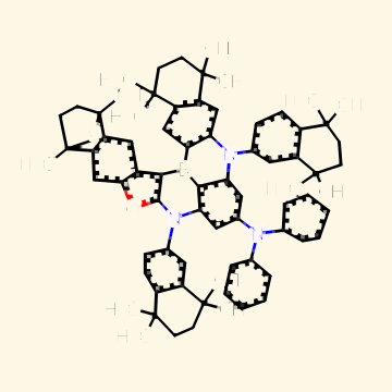 CC1(C)CCC(C)(C)c2cc(N3c4cc5c(cc4B4c6c3cc(N(c3ccccc3)c3ccccc3)cc6N(c3ccc6c(c3)C(C)(C)CCC6(C)C)c3oc6cc7c(cc6c34)C3(C)CCC7(C)CC3)C(C)(C)CCC5(C)C)ccc21